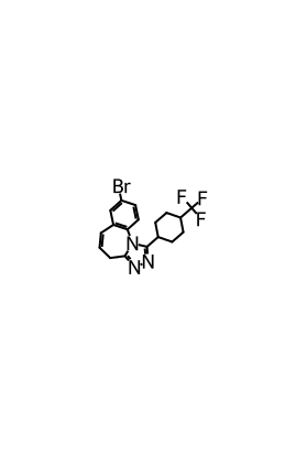 FC(F)(F)C1CCC(c2nnc3n2-c2ccc(Br)cc2C=CC3)CC1